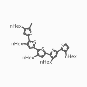 CCCCCCc1cc(-c2sc(-c3sc(-c4sc(-c5sccc5CCCCCC)cc4CCCCCC)cc3CCCCCC)cc2CCCCCC)sc1C